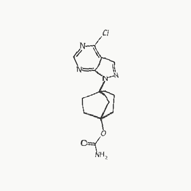 NC(=O)OC12CCC(n3ncc4c(Cl)ncnc43)(CC1)C2